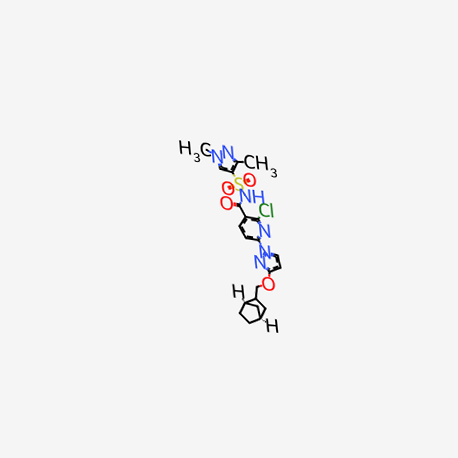 Cc1nn(C)cc1S(=O)(=O)NC(=O)c1ccc(-n2ccc(OCC3C[C@H]4CC[C@@H]3C4)n2)nc1Cl